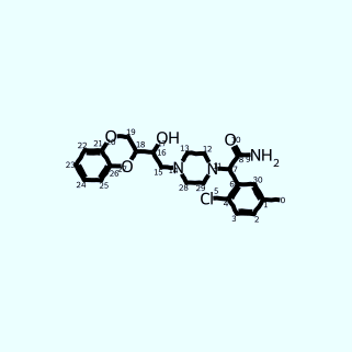 Cc1ccc(Cl)c(C(C(N)=O)N2CCN(CC(O)C3COc4ccccc4O3)CC2)c1